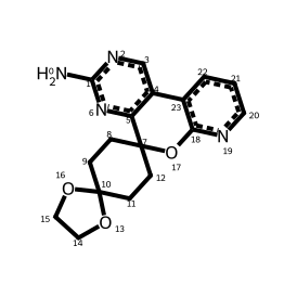 Nc1ncc2c(n1)C1(CCC3(CC1)OCCO3)Oc1ncccc1-2